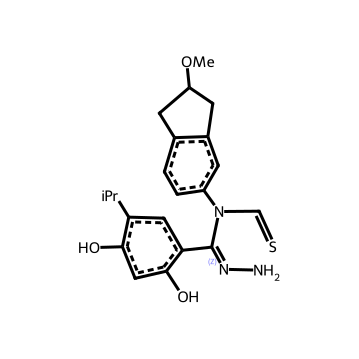 COC1Cc2ccc(N(C=S)/C(=N\N)c3cc(C(C)C)c(O)cc3O)cc2C1